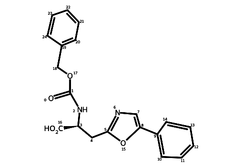 O=C(N[C@@H](Cc1ncc(-c2ccccc2)o1)C(=O)O)OCc1ccccc1